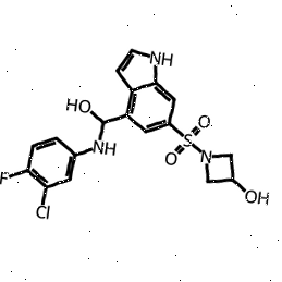 O=S(=O)(c1cc(C(O)Nc2ccc(F)c(Cl)c2)c2cc[nH]c2c1)N1CC(O)C1